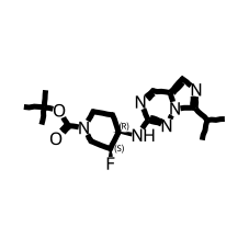 CC(C)c1ncc2cnc(N[C@@H]3CCN(C(=O)OC(C)(C)C)C[C@@H]3F)nn12